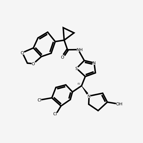 O=C(Nc1ncc([C@H](c2ccc(Cl)c(Cl)c2)N2C=C(O)CC2)s1)C1(c2ccc3c(c2)OCO3)CC1